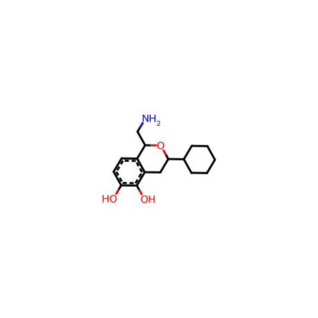 NCC1OC(C2CCCCC2)Cc2c1ccc(O)c2O